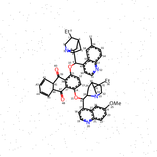 CCC1CN2CCC1CC2C(Oc1ccc(OC(c2ccnc3ccc(OC)cc23)C2CC3CCN2CC3CC)c2c1C(=O)C1C=CC=CC1C2=O)c1ccnc2ccc(C)cc12